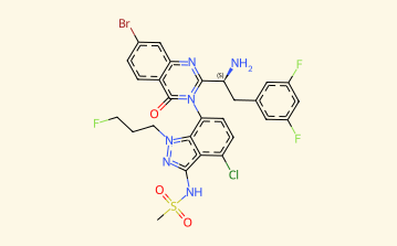 CS(=O)(=O)Nc1nn(CCCF)c2c(-n3c([C@@H](N)Cc4cc(F)cc(F)c4)nc4cc(Br)ccc4c3=O)ccc(Cl)c12